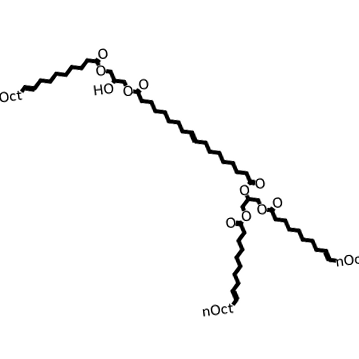 CCCCCCCCC=CCCCCCCCC(=O)OCC(O)COC(=O)CCCCCCCC=CCCCCCCCC(=O)OC(COC(=O)CCCCCCCC=CCCCCCCCC)COC(=O)CCCCCCCC=CCCCCCCCC